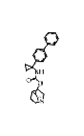 O=C(NC1(c2ccc(-c3ccccc3)cc2)CC1)OC1CN2CCC1CC2